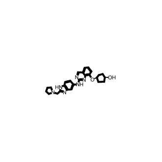 O[C@H]1CC[C@@H](Oc2cccc3cnc(Nc4ccc5[nH]c(CN6CCCC6)nc5c4)nc23)CC1